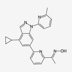 CC(=NO)c1cccc(-c2cc(C3CC3)c3cnn(-c4cccc(C)n4)c3c2)n1